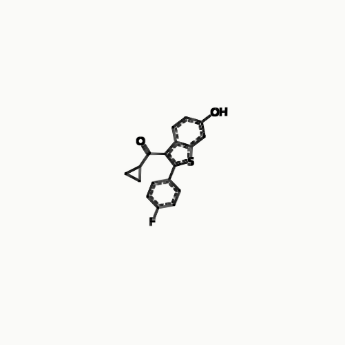 O=C(c1c(-c2ccc(F)cc2)sc2cc(O)ccc12)C1CC1